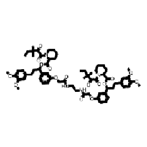 CCC(C)(C)C(=O)C(=O)N1CCCCC1C(=O)OC(CCc1ccc(OC)c(OC)c1)c1cccc(OCC(=O)NCCNC(=O)COc2cccc(C(CCc3ccc(OC)c(OC)c3)OC(=O)C3CCCCN3C(=O)C(=O)C(C)(C)CC)c2)c1